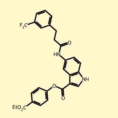 CCOC(=O)c1ccc(OC(=O)c2c[nH]c3ccc(NC(=O)CCc4cccc(C(F)(F)F)c4)cc23)cc1